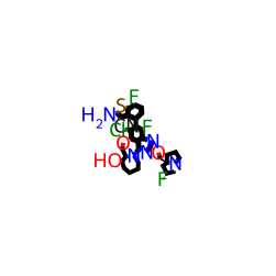 N#Cc1c(N)sc2c(F)ccc(-c3c(Cl)c4c5c(nc(OC[C@@]67CCCN6C[C@H](F)C7)nc5c3F)N3CCCCC(O)C3CO4)c12